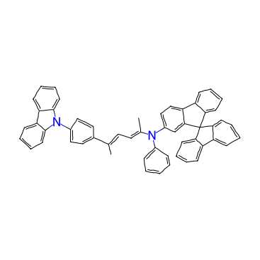 C/C(=C\C=C(/C)N(c1ccccc1)c1ccc2c(c1)C1(c3ccccc3-c3ccccc31)c1ccccc1-2)c1ccc(-n2c3ccccc3c3ccccc32)cc1